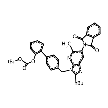 CCCCc1nc2cc(N3C(=O)c4ccccc4C3=O)c(C)nc2n1Cc1ccc(-c2ccccc2OC(=O)OC(C)(C)C)cc1